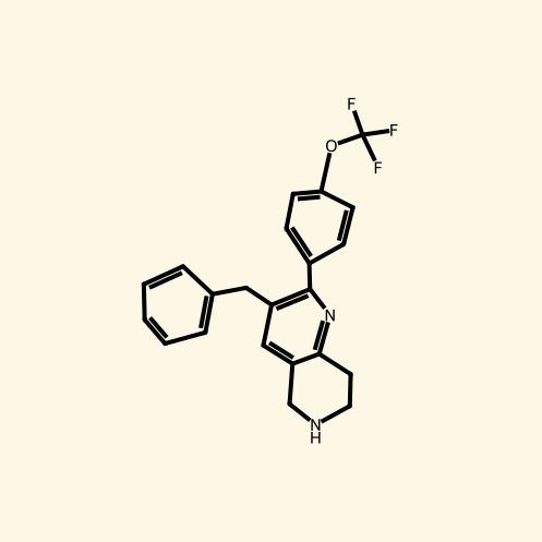 FC(F)(F)Oc1ccc(-c2nc3c(cc2Cc2ccccc2)CNCC3)cc1